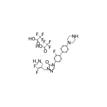 NCC(Cn1ncn(-c2ccc(-c3ccc(N4CCNCC4)cc3)c(F)c2)c1=O)=C(F)F.O=C(O)C(F)(F)F.O=C(O)C(F)(F)F